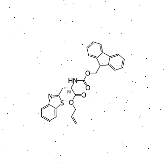 C=CCOC(=O)[C@H](Cc1nc2ccccc2s1)NC(=O)OCC1c2ccccc2-c2ccccc21